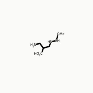 COBNCC(CN)C(=O)O